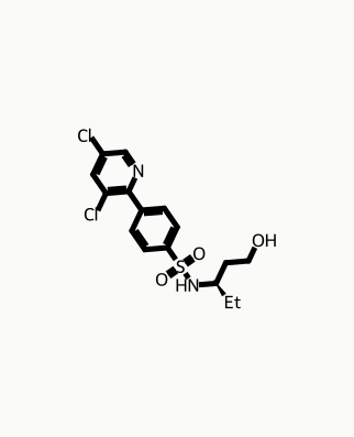 CC[C@H](CCO)NS(=O)(=O)c1ccc(-c2ncc(Cl)cc2Cl)cc1